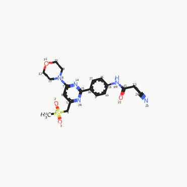 CS(=O)(=O)Cc1cc(N2CCOCC2)nc(-c2ccc(NC(=O)CC#N)cc2)n1